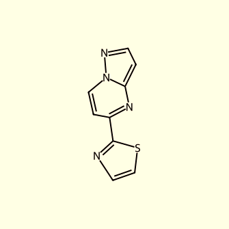 c1csc(-c2ccn3nccc3n2)n1